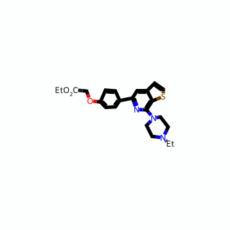 CCOC(=O)COc1ccc(-c2cc3ccsc3c(N3CCN(CC)CC3)n2)cc1